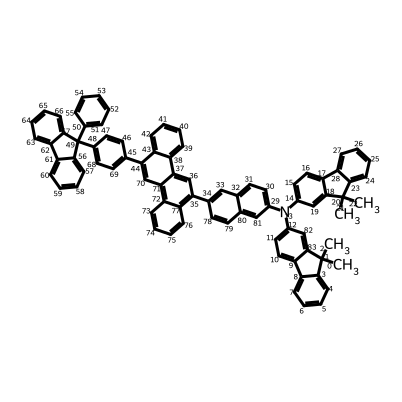 CC1(C)c2ccccc2-c2ccc(N(c3ccc4c(c3)C(C)(C)c3ccccc3-4)c3ccc4cc(-c5cc6c7ccccc7c(-c7ccc(C8(c9ccccc9)c9ccccc9-c9ccccc98)cc7)cc6c6ccccc56)ccc4c3)cc21